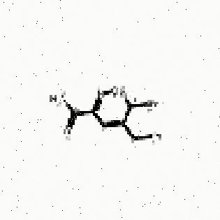 C/N=C(\C=C(\CC(C)C)C(C)C(C)C)C(N)=O